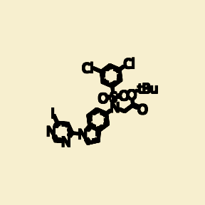 CC(C)(C)OC(=O)CN(c1ccc2c(ccn2-c2cc(I)ncn2)c1)S(=O)(=O)c1cc(Cl)cc(Cl)c1